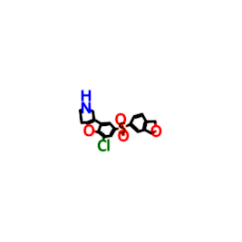 O=S(=O)(c1ccc2c(c1)COC2)c1cc(Cl)c2oc3c(c2c1)CNCC3